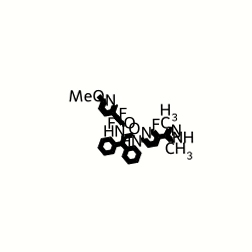 COc1ccc(C(F)(F)C(=O)NC(C(=O)Nc2ccc(-c3c(C)n[nH]c3C)c(F)n2)C(C2CCCCC2)C2CCCCC2)cn1